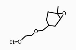 CCOCCOCC1CCC2(C)OC2C1